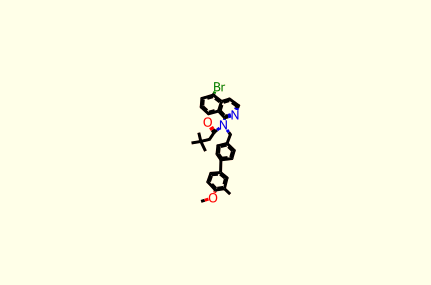 COc1ccc(-c2ccc(CN(C(=O)CC(C)(C)C)c3nccc4c(Br)cccc34)cc2)cc1C